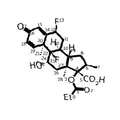 CCC(=O)O[C@@]1(C(=O)O)[C@H](C)C[C@H]2[C@@H]3C[C@H](F)C4=CC(=O)C=C[C@]4(C)[C@@]3(F)[C@@H](O)C[C@@]21C